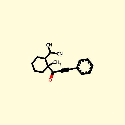 CC1(C(=O)C#Cc2ccccc2)CCCCC1C(C#N)C#N